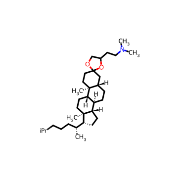 CC(C)CCC[C@@H](C)[C@H]1CC[C@H]2[C@@H]3CC[C@H]4CC5(CC[C@]4(C)[C@H]3CC[C@]12C)OCC(CCN(C)C)O5